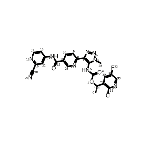 C[C@@H](OC(=O)Nc1c(-c2ccc(C(=O)Nc3ccnc(C#N)c3)cn2)nnn1C)c1cc(F)cnc1Cl